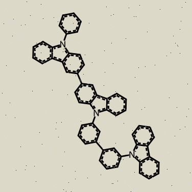 c1ccc(-n2c3ccccc3c3cc(-c4ccc5c(c4)c4ccccc4n5-c4cccc(-c5cccc(-n6c7ccccc7c7ccccc76)c5)c4)ccc32)cc1